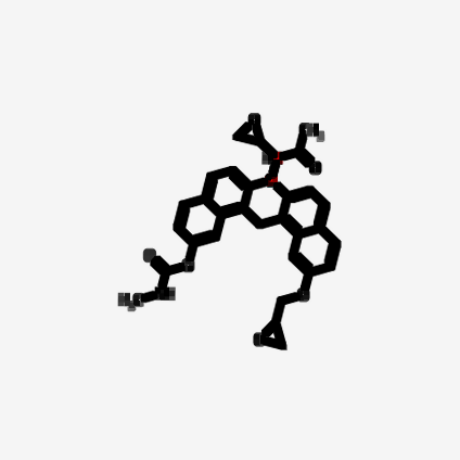 CNC(=O)Oc1ccc2ccc(ONC(C)=O)c(Cc3c(OCC4CO4)ccc4ccc(OCC5CO5)cc34)c2c1